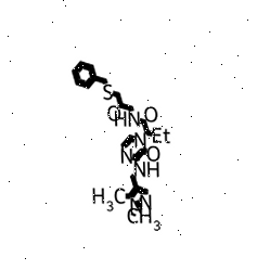 CCC(C(=O)NCC(=O)CSCc1ccccc1)n1ccnc(NCc2cnn(C)c2C)c1=O